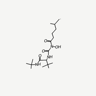 [CH2]C(C)CCCC(=O)N(O)C(=O)NC(C(=O)NC(C)(C)C)C(C)(C)C